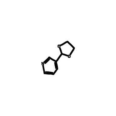 c1cncc(C2OCCO2)c1